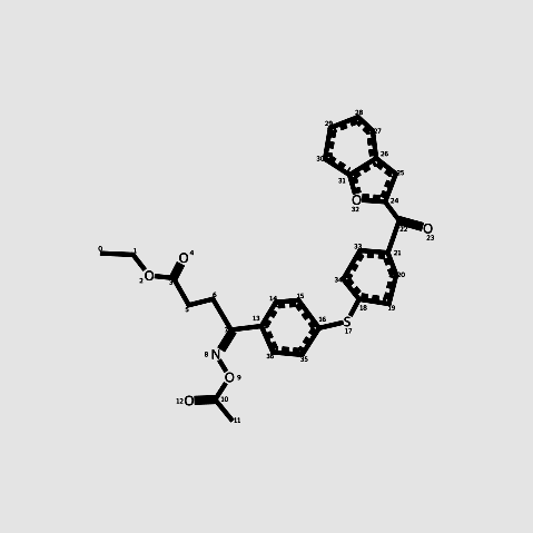 CCOC(=O)CC/C(=N/OC(C)=O)c1ccc(Sc2ccc(C(=O)c3cc4ccccc4o3)cc2)cc1